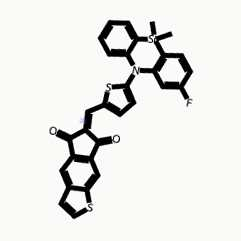 C[Si]1(C)c2ccccc2N(c2ccc(/C=C3/C(=O)c4cc5ccsc5cc4C3=O)s2)c2cc(F)ccc21